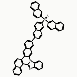 S=P(c1ccc2ccccc2c1)(c1ccc2ccccc2c1)c1ccc2cc(-c3ccc4cc5c6ccc7ccccc7c6c6nc7ccccc7n6c5cc4c3)ccc2c1